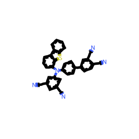 N#Cc1cc(C#N)cc(N(c2ccc(-c3ccc(C#N)c(C#N)c3)cc2)c2cccc3c2sc2ccccc23)c1